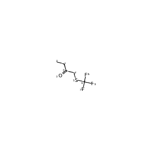 CCC(=O)CSC(F)(F)F